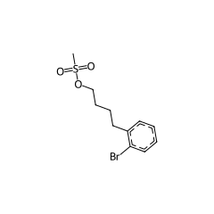 CS(=O)(=O)OCCCCc1ccccc1Br